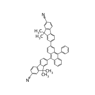 CC1(C)c2cc(C#N)ccc2-c2ccc(-c3ccc4c(-c5ccc6c(c5)C(C)(C)c5cc(C#N)ccc5-6)c5ccccc5c(-c5ccccc5)c4c3)cc21